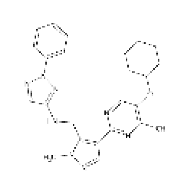 Cc1nc(-c2cnn(C)c2CNc2cnn(-c3ccccc3)n2)ncc1OC1CCCCC1